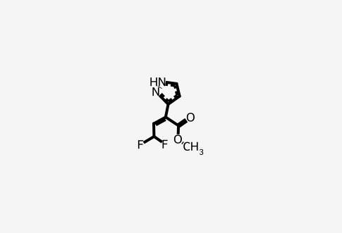 COC(=O)C(=CC(F)F)c1cc[nH]n1